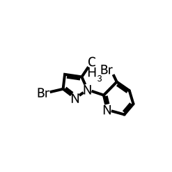 Cc1cc(Br)nn1-c1ncccc1Br